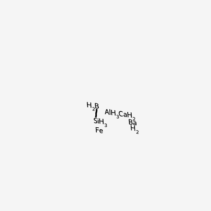 B[SiH3].[AlH3].[BaH2].[CaH2].[Fe]